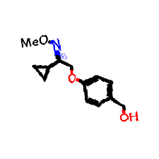 CO/N=C(/COc1ccc(CO)cc1)C1CC1